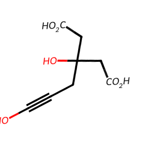 O=C(O)CC(O)(CC#CO)CC(=O)O